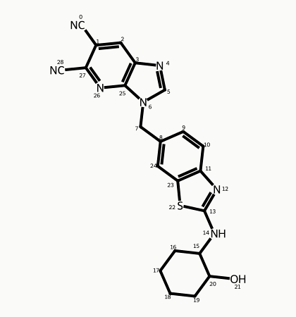 N#Cc1cc2ncn(Cc3ccc4nc(NC5CCCCC5O)sc4c3)c2nc1C#N